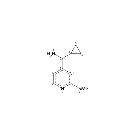 CSc1nccc(C(N)C2CC2)n1